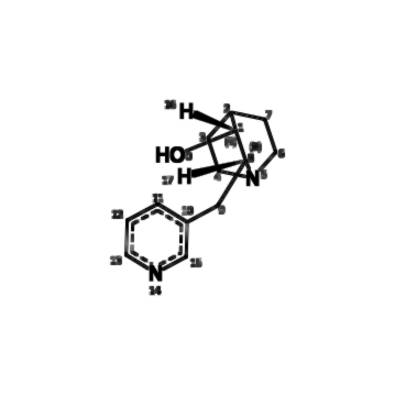 O[C@@H]1C2CCN(CC2)[C@@H]1Cc1cccnc1